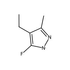 CCC1=C(F)[N]N=C1C